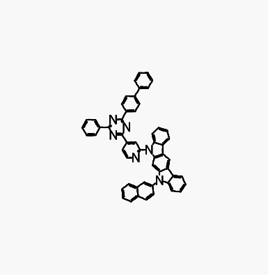 c1ccc(-c2ccc(-c3nc(-c4ccccc4)nc(-c4ccnc(-n5c6ccccc6c6cc7c8ccccc8n(-c8ccc9ccccc9c8)c7cc65)c4)n3)cc2)cc1